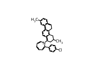 Cc1ccc2c(c1)=c1ccc3c(c1CC=2)CC(C)CC=3N1C=CC=CC=C1c1ccc(Cl)cc1